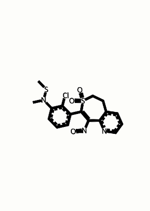 CSN(C)c1cccc(C2=C(N=O)c3ncccc3CCS2(=O)=O)c1Cl